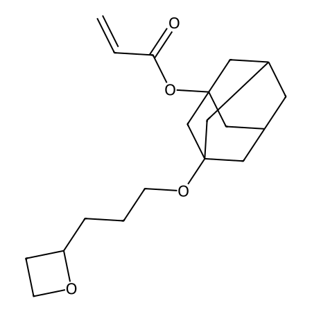 C=CC(=O)OC12CC3CC(CC(OCCCC4CCO4)(C3)C1)C2